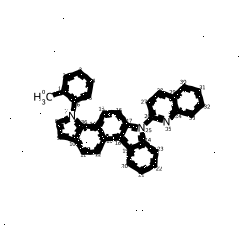 Cc1ccccc1-n1ccc2ccc3c(ccc4c3c3ccccc3n4-c3ccc4ccccc4n3)c21